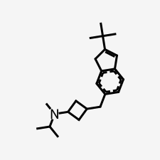 CC(C)N(C)C1CC(Cc2ccc3c(c2)CC(C(C)(C)C)=C3)C1